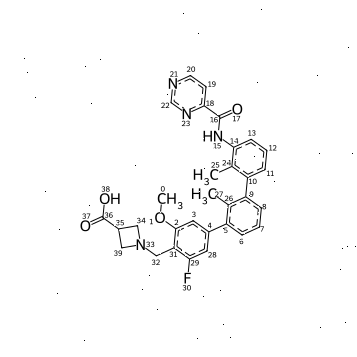 COc1cc(-c2cccc(-c3cccc(NC(=O)c4ccncn4)c3C)c2C)cc(F)c1CN1CC(C(=O)O)C1